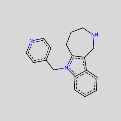 c1ccc2c(c1)c1c(n2Cc2ccncc2)CCCNC1